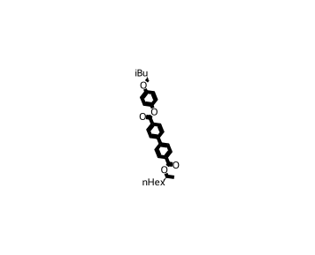 CCCCCC[C@@H](C)OC(=O)c1ccc(-c2ccc(C(=O)Oc3ccc(OC[C@@H](C)CC)cc3)cc2)cc1